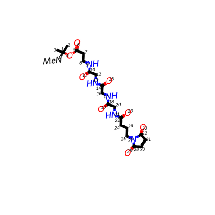 CNC(C)(C)OC(=O)CCNC(=O)CNC(=O)CNC(=O)CNC(=O)CCCN1C(=O)C=CC1=O